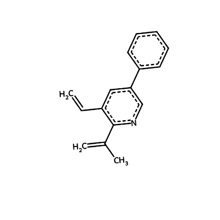 C=Cc1cc(-c2ccccc2)cnc1C(=C)C